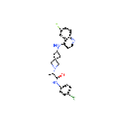 CC(C(=O)Nc1ccc(Cl)cc1)N1CC2(CC(Nc3ccnc4ccc(F)cc34)C2)C1